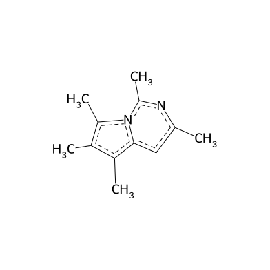 Cc1cc2c(C)c(C)c(C)n2c(C)n1